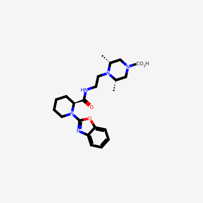 C[C@@H]1CN(C(=O)O)C[C@H](C)N1CCNC(=O)[C@@H]1CCCCN1c1nc2ccccc2o1